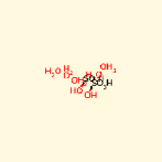 O.O.O.O.O.O=S(=O)(O)O.O=S(=O)(O)O